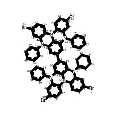 Brc1ccc2c(c1)N(C1=CC=CCC1)c1cc(-c3cc4c5c(c3)N(c3ccccc3)c3cc(Br)ccc3B5c3ccc(Br)cc3N4c3ccccc3)cc3c1B2c1ccc(Br)cc1N3c1ccccc1